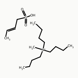 CC=CCS(=O)(=O)O.CCCC[N+](C)(CCCC)CCCC